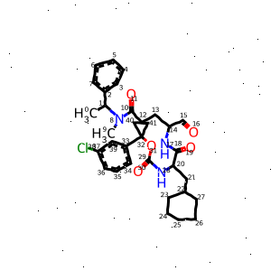 CC(c1ccccc1)N(C)C(=O)CCC(C=O)NC(=O)C(CC1CCCCC1)NC(=O)OC1(c2cccc(Cl)c2)CC1